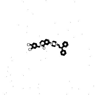 O=C1c2cc(N3CCN(CCC(c4ccccc4)c4ccccc4)CC3)ccc2CCN1Cc1ccc(Cl)c(Cl)c1